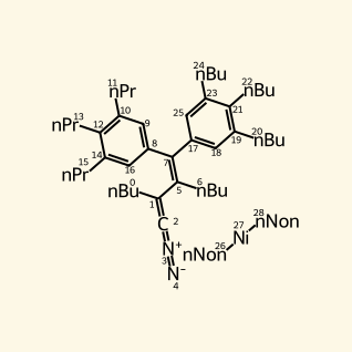 CCCCC(=C=[N+]=[N-])C(CCCC)=C(c1cc(CCC)c(CCC)c(CCC)c1)c1cc(CCCC)c(CCCC)c(CCCC)c1.CCCCCCCC[CH2][Ni][CH2]CCCCCCCC